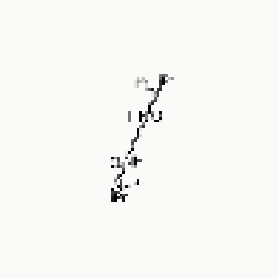 CC(C)CN(CCC(=O)NCCCCCCNC(=O)CCN(CC(C)C)CC(C)C)CC(C)C